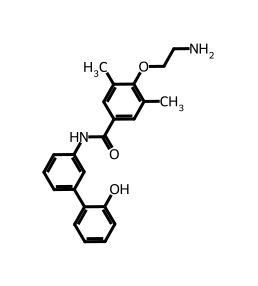 Cc1cc(C(=O)Nc2cccc(-c3ccccc3O)c2)cc(C)c1OCCN